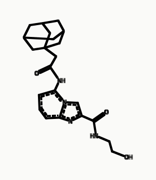 O=C(CC12CC3CC(CC(C3)C1)C2)Nc1cccc2nc(C(=O)NCCO)cn12